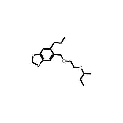 CCCc1cc2c(cc1COCCOC(C)CC)OCO2